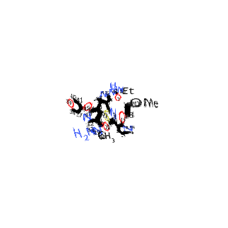 CCNC(=O)Nc1cc(-c2nc(-c3cccnc3OCCOC)cs2)c(-c2cc(C(=O)N(C)N)cnc2OC2CCOCC2)cn1